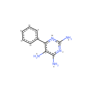 Nc1nc(N)c(N)c(-c2ccccc2)n1